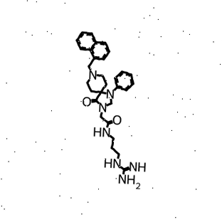 N=C(N)NCCCNC(=O)CN1CN(c2ccccc2)C2(CCN(Cc3cccc4ccccc34)CC2)C1=O